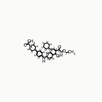 CCONC(=O)c1cn(C2CCCCC2)c2nc(Nc3ccc(C4CCN(C(C)=O)CC4)cc3)ncc2c1=O